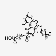 Cc1cc(C)cc(OC(CCCC(F)(F)F)c2ccc(C(=O)NCCC(=O)O)cc2)c1